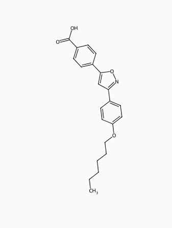 CCCCCCOc1ccc(-c2cc(-c3ccc(C(=O)O)cc3)on2)cc1